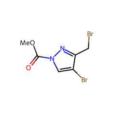 COC(=O)n1cc(Br)c(CBr)n1